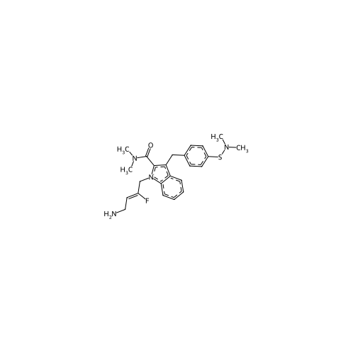 CN(C)Sc1ccc(Cc2c(C(=O)N(C)C)n(C/C(F)=C/CN)c3ccccc23)cc1